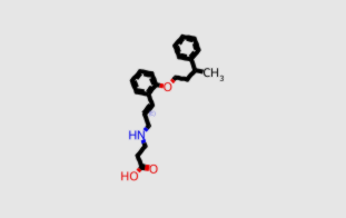 CC(CCOc1ccccc1/C=C/CNCCC(=O)O)c1ccccc1